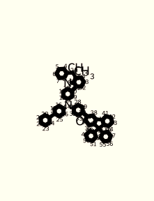 CC1(C)c2ccccc2-n2c3ccc(N(c4ccc(-c5ccccc5)cc4)c4ccc5c(c4)oc4cc6c(cc45)-c4ccccc4C6(c4ccccc4)c4ccccc4)cc3c3cccc1c32